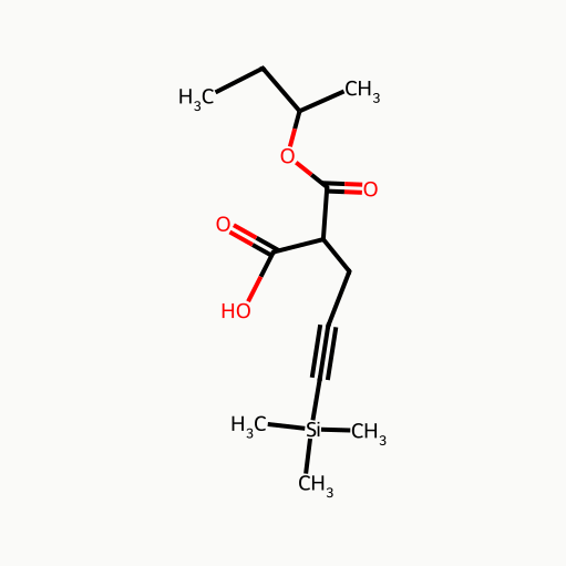 CCC(C)OC(=O)C(CC#C[Si](C)(C)C)C(=O)O